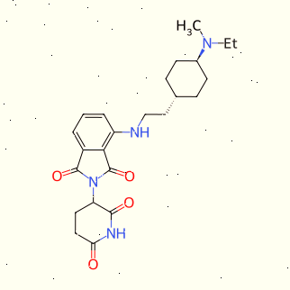 CCN(C)[C@H]1CC[C@H](CCNc2cccc3c2C(=O)N(C2CCC(=O)NC2=O)C3=O)CC1